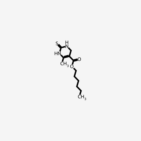 CCCCCCOC(=O)C1=C(C)NC(=S)NC1